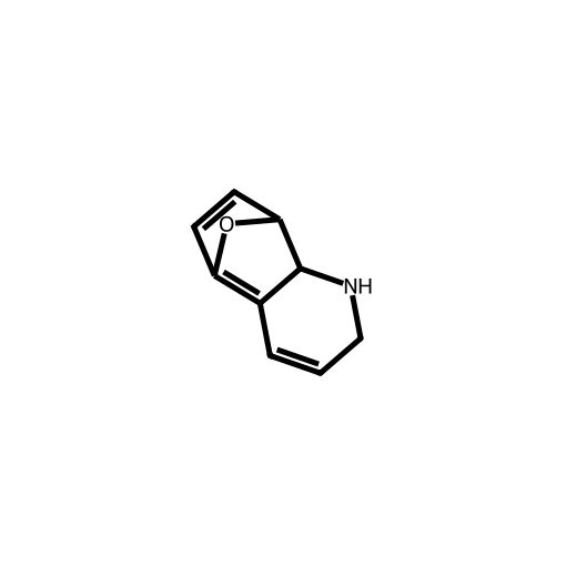 C1=CC2=C3C=CC(O3)C2NC1